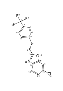 FC(F)(F)c1ccc(CSc2nc3ccc(Cl)cc3o2)cc1